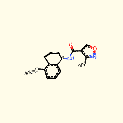 CCCc1nocc1C(=O)N[C@@H]1CCCc2c(OC)cccc21